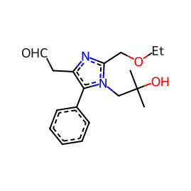 CCOCc1nc(CC=O)c(-c2ccccc2)n1CC(C)(C)O